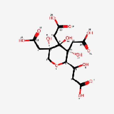 O=C(O)CC(O)[C@H]1O[CH][C@@](O)(CC(=O)O)[C@](O)(CC(=O)O)[C@@]1(O)CC(=O)O